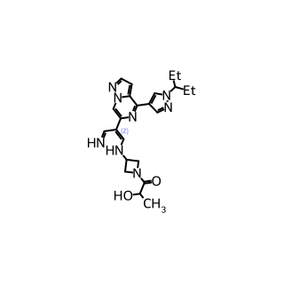 CCC(CC)n1cc(-c2nc(/C(C=N)=C/NC3CN(C(=O)C(C)O)C3)cn3nccc23)cn1